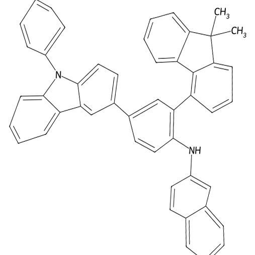 CC1(C)c2ccccc2-c2c(-c3cc(-c4ccc5c(c4)c4ccccc4n5-c4ccccc4)ccc3Nc3ccc4ccccc4c3)cccc21